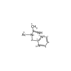 CC(=N)N(Cc1ncccn1)C(C)=O